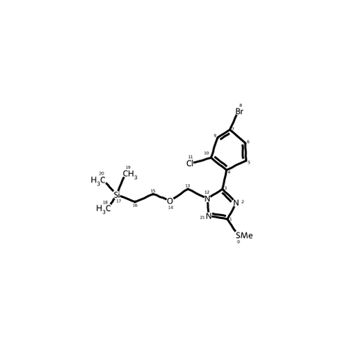 CSc1nc(-c2ccc(Br)cc2Cl)n(COCC[Si](C)(C)C)n1